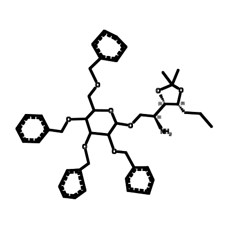 CCC[C@H]1OC(C)(C)O[C@H]1[C@@H](N)COC1OC(COCc2ccccc2)C(OCc2ccccc2)C(OCc2ccccc2)C1OCc1ccccc1